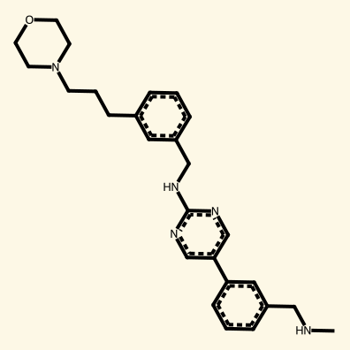 CNCc1cccc(-c2cnc(NCc3cccc(CCCN4CCOCC4)c3)nc2)c1